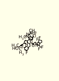 CNc1nn(C)c2c(-c3ccc(C#CC(C)(C)O)nc3C(Cc3cc(F)cc(F)c3)NC(=O)Cn3nc(C(F)F)c4c3C(F)(F)CC4)ccc(Cl)c12